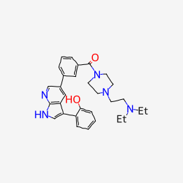 CCN(CC)CCN1CCN(C(=O)c2cccc(-c3cnc4[nH]cc(-c5ccccc5O)c4c3)c2)CC1